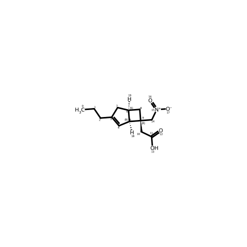 CCCC1=C[C@H]2[C@@H](C1)C[C@]2(CC(=O)O)C[N+](=O)[O-]